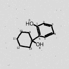 Oc1ccc[c]c1C1(O)CCCCC1